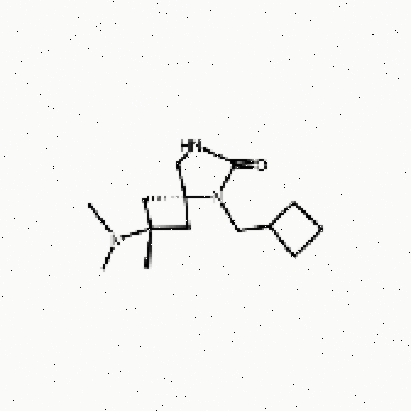 CN(C)[C@]1(C)C[C@@]2(CNC(=O)N2CC2CCC2)C1